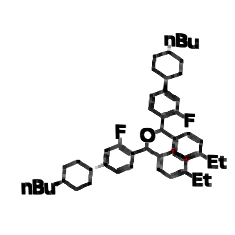 CCCC[C@H]1CC[C@H](c2ccc(C(OC(c3ccc(CC)cc3)c3ccc([C@H]4CC[C@H](CCCC)CC4)cc3F)c3ccc(CC)cc3)c(F)c2)CC1